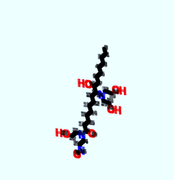 CCCCCCCCC(O)C(CCCCCCCC(=O)N(CCO)CCN=O)N(CCO)CCO